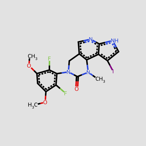 COc1cc(OC)c(F)c(N2Cc3cnc4[nH]cc(I)c4c3N(C)C2=O)c1F